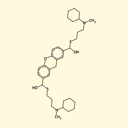 CN(CCCSC(O)c1ccc2c(c1)Cc1cc(C(O)SCCCN(C)C3CCCCC3)ccc1O2)C1CCCCC1